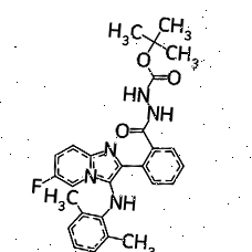 Cc1cccc(C)c1Nc1c(-c2ccccc2C(=O)NNC(=O)OC(C)(C)C)nc2ccc(F)cn12